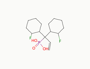 C=CC(C1CCCCC1F)(C1CCCCC1F)P(=O)(O)O